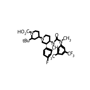 CN(C(=O)N(C)[C@@H]1CCN(C2CCN(C(=O)O)C(C(C)(C)C)C2)C[C@H]1c1ccc(F)cc1)c1cc(C(F)(F)F)cc(C(F)(F)F)c1